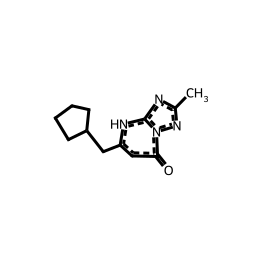 Cc1nc2[nH]c(CC3CCCC3)cc(=O)n2n1